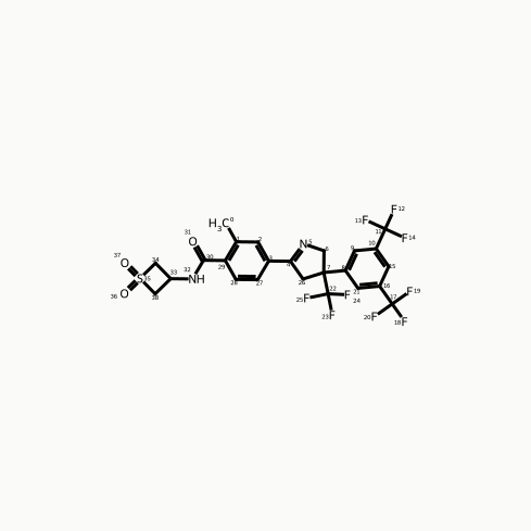 Cc1cc(C2=NCC(c3cc(C(F)(F)F)cc(C(F)(F)F)c3)(C(F)(F)F)C2)ccc1C(=O)NC1CS(=O)(=O)C1